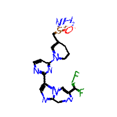 N[S+]([O-])CC1CCCN(c2ccnc(-c3cnc4cnc(C(F)F)cn34)n2)C1